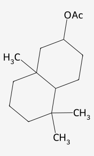 CC(=O)OC1CCC2C(C)(C)CCCC2(C)C1